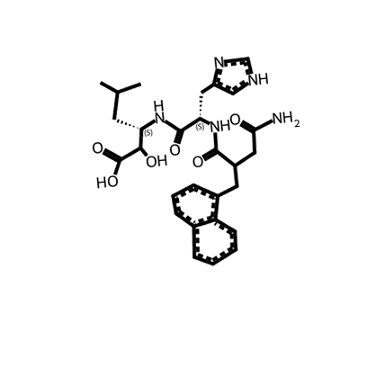 CC(C)C[C@H](NC(=O)[C@H](Cc1c[nH]cn1)NC(=O)C(CC(N)=O)Cc1cccc2ccccc12)C(O)C(=O)O